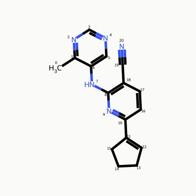 Cc1ncncc1Nc1nc(C2=CCCC2)ccc1C#N